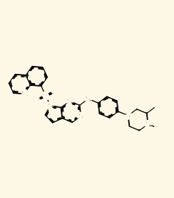 CC(=O)N1CCN(c2ccc(Nc3ncc4ccn(S(=O)(=O)c5cccc6cccnc56)c4n3)cc2)CC1C